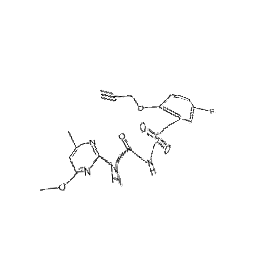 C#CCOc1ccc(F)cc1S(=O)(=O)NC(=O)Nc1nc(C)cc(OC)n1